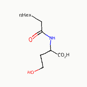 CCCCCCCC(=O)NC(CCO)C(=O)O